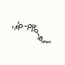 CCCCCc1cnc(C#Cc2ccc(C(F)(F)Oc3ccc(C#Cc4cc(F)c(OC(F)(F)F)c(F)c4)c(F)c3)c(F)c2)nc1